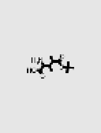 CC(C(=O)OC(C)(C)C)C(C)C(N)C(=O)O